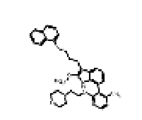 Cc1ccnc(OCCN2CCOCC2)c1-c1cccc2c(CCCOc3cccc4ccccc34)c(OC(=O)O)[nH]c12